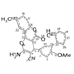 COc1ccc(C2C(C#N)=C(N)Oc3c2c(=O)oc2ccc(C)cc32)cc1-c1ccccc1C